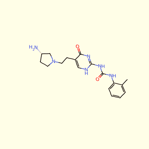 Cc1ccccc1NC(=O)Nc1nc(=O)c(CCN2CC[C@H](N)C2)c[nH]1